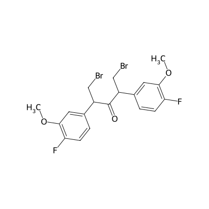 COc1cc(C(CBr)C(=O)C(CBr)c2ccc(F)c(OC)c2)ccc1F